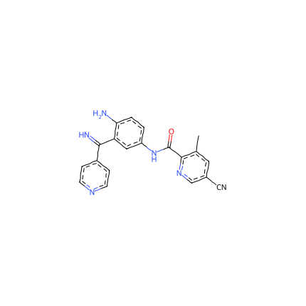 Cc1cc(C#N)cnc1C(=O)Nc1ccc(N)c(C(=N)c2ccncc2)c1